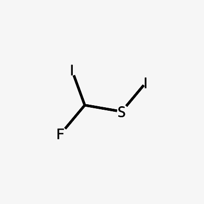 FC(I)SI